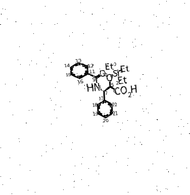 CC[Si](CC)(CC)OC(C(=O)O)[C@@H](NC(=O)c1ccccc1)c1ccccc1